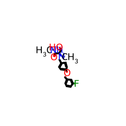 CNC(=O)C(CO)N(C)Cc1ccc(OCc2cccc(F)c2)cc1